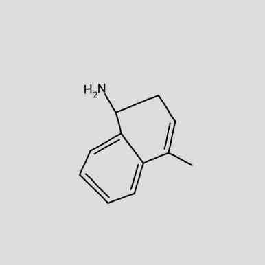 CC1=CCC(N)c2ccccc21